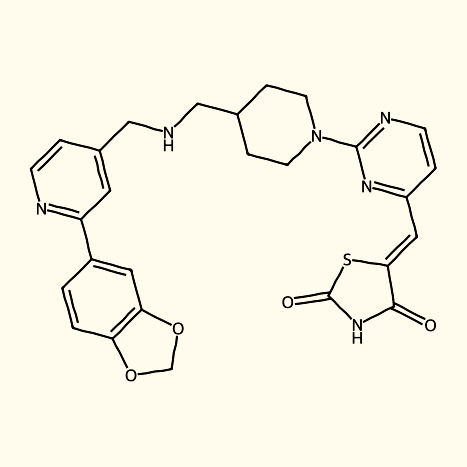 O=C1NC(=O)C(=Cc2ccnc(N3CCC(CNCc4ccnc(-c5ccc6c(c5)OCO6)c4)CC3)n2)S1